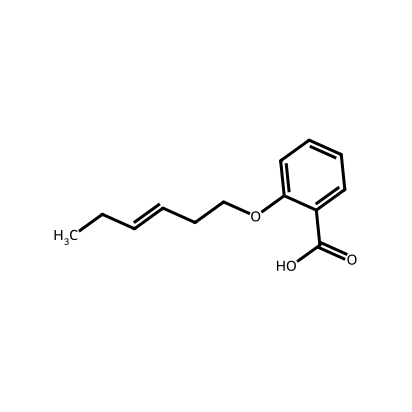 CCC=CCCOc1ccccc1C(=O)O